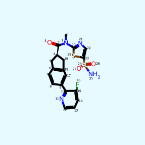 CN(C(=O)[C@@H]1Cc2ccc(-c3ncccc3F)cc2C1)c1ncc(S(N)(=O)=O)s1